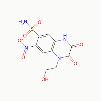 NS(=O)(=O)c1cc2[nH]c(=O)c(=O)n(CCO)c2cc1[N+](=O)[O-]